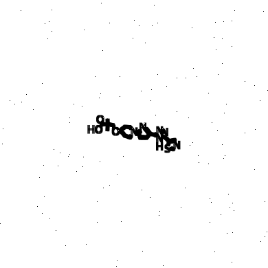 CC(C)(COC1CCN(c2ccc(-c3nnc(-c4cncs4)[nH]3)cn2)CC1)C(=O)O